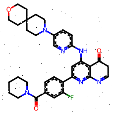 O=C1CC=Nc2nc(-c3ccc(C(=O)N4CCCCC4)cc3F)cc(Nc3ccc(N4CCC5(CCOCC5)CC4)cn3)c21